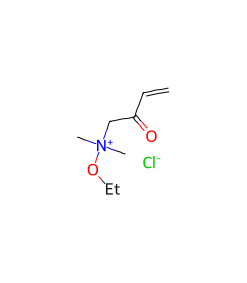 C=CC(=O)C[N+](C)(C)OCC.[Cl-]